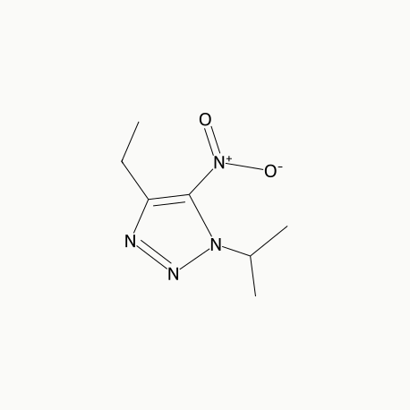 CCc1nnn(C(C)C)c1[N+](=O)[O-]